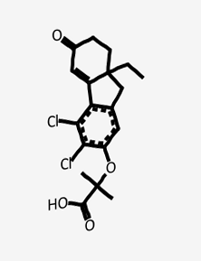 CCC12CCC(=O)C=C1c1c(cc(OC(C)(C)C(=O)O)c(Cl)c1Cl)C2